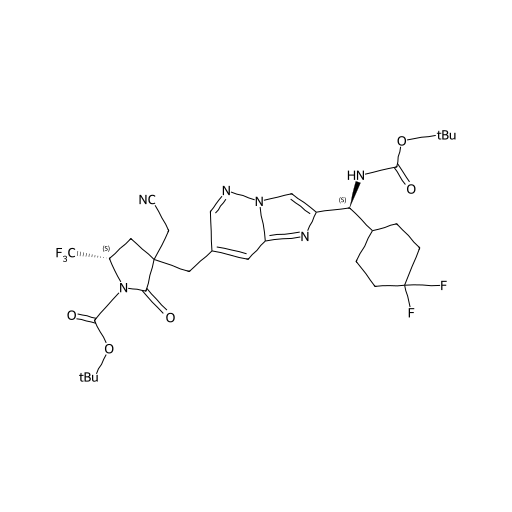 CC(C)(C)OC(=O)N[C@H](c1cn2ncc(CC3(CC#N)C[C@@H](C(F)(F)F)N(C(=O)OC(C)(C)C)C3=O)cc2n1)C1CCC(F)(F)CC1